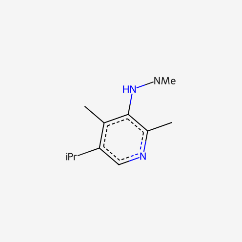 CNNc1c(C)ncc(C(C)C)c1C